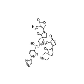 CC1=C(N2CCC3(CCN(C[C@@H](O)c4ccc(-n5cnnn5)nn4)CC3)C2=O)COC1=O.CC1=C(N2CCC3(CCNCC3)C2=O)COC1=O